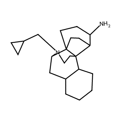 NC1CCC23CCC1C21CCN(CC2CC2)C3CC2CCCCC21